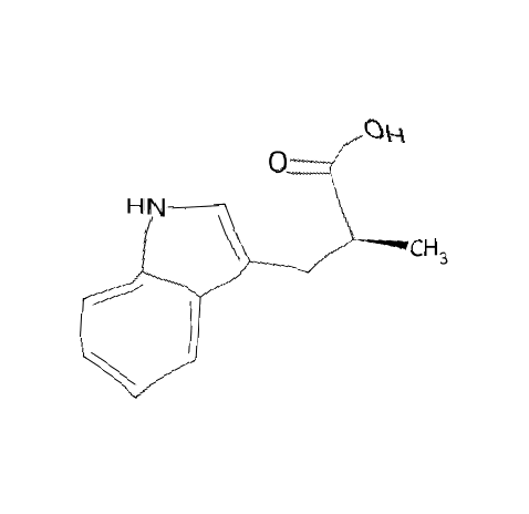 C[C@@H](Cc1c[nH]c2ccccc12)C(=O)O